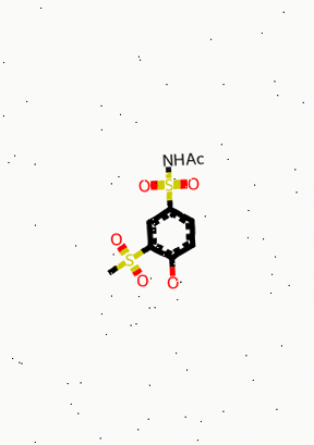 CC(=O)NS(=O)(=O)c1ccc([O])c(S(C)(=O)=O)c1